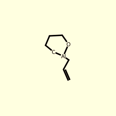 C=C[CH2][Al]1[CH2]CCC[O]1